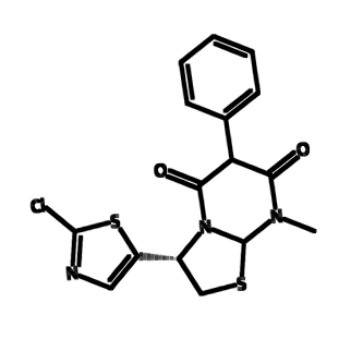 CN1C(=O)C(c2ccccc2)C(=O)N2C1SC[C@@H]2c1cnc(Cl)s1